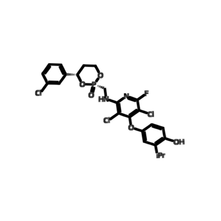 CC(C)c1cc(Oc2c(Cl)c(F)nc(NC[P@@]3(=O)OCC[C@@H](c4cccc(Cl)c4)O3)c2Cl)ccc1O